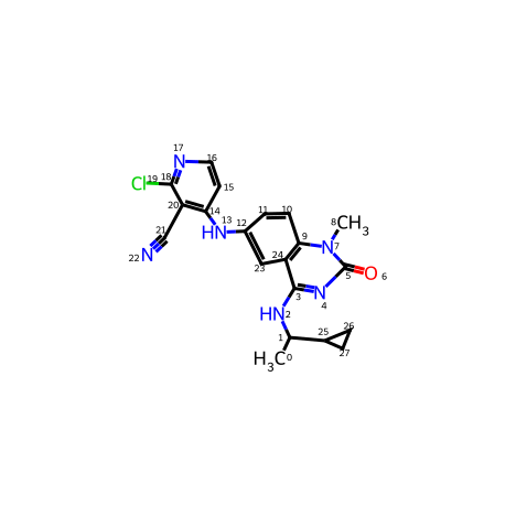 CC(Nc1nc(=O)n(C)c2ccc(Nc3ccnc(Cl)c3C#N)cc12)C1CC1